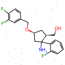 NC1(c2ccccc2F)C[C@@H](OCc2ccc(F)c(F)c2)C[C@H]1CO